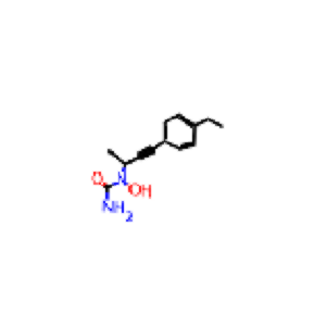 CCc1ccc(C#CC(C)N(O)C(N)=O)cc1